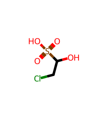 O=S(=O)(O)C(O)CCl